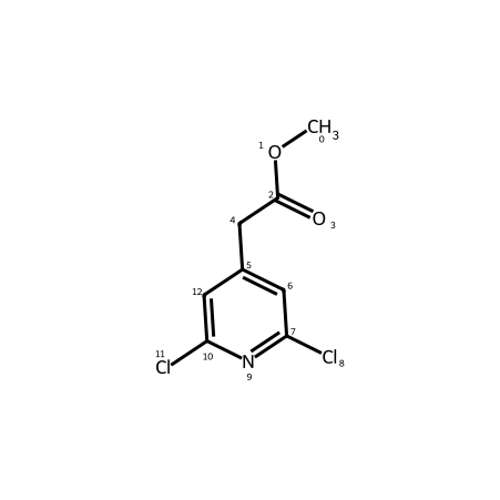 COC(=O)Cc1cc(Cl)nc(Cl)c1